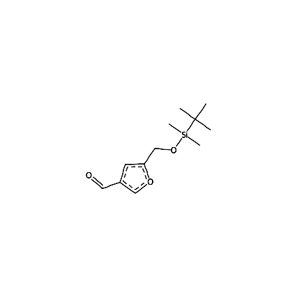 CC(C)(C)[Si](C)(C)OCc1cc(C=O)co1